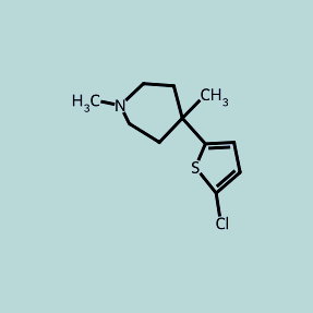 CN1CCC(C)(c2ccc(Cl)s2)CC1